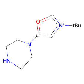 CC(C)(C)[n+]1coc(N2CCNCC2)c1